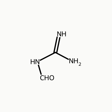 N=C(N)NC=O